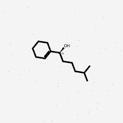 CC(C)CCC[C@H](O)C1=CCCCC1